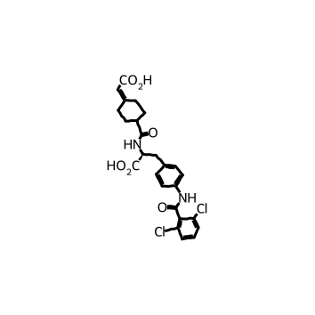 O=C(O)C=C1CCC(C(=O)N[C@@H](Cc2ccc(NC(=O)c3c(Cl)cccc3Cl)cc2)C(=O)O)CC1